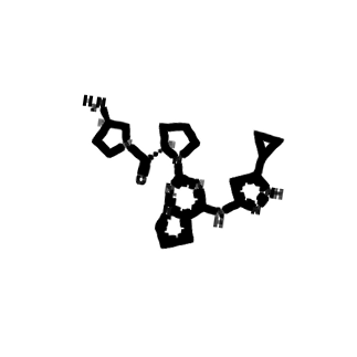 N[C@@H]1CCN(C(=O)[C@@H]2CCCN2c2nc(Nc3cc(C4CC4)[nH]n3)c3cccn3n2)C1